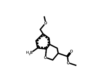 Bc1cc(COC)cc2c1OCC(C(=O)OC)C2